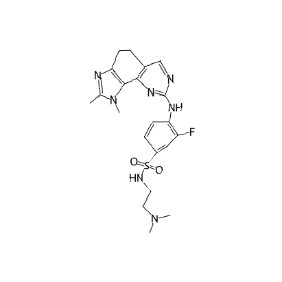 Cc1nc2c(n1C)-c1nc(Nc3ccc(S(=O)(=O)NCCN(C)C)cc3F)ncc1CC2